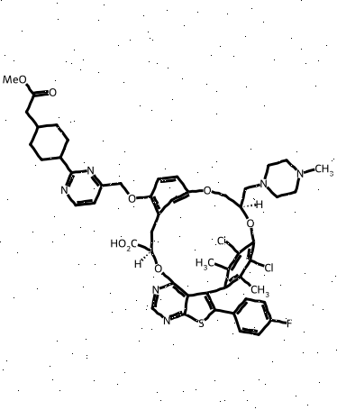 COC(=O)CC1CCC(c2nccc(COc3ccc4cc3C[C@H](C(=O)O)Oc3ncnc5sc(-c6ccc(F)cc6)c(c35)-c3c(C)c(Cl)c(c(Cl)c3C)O[C@H](CN3CCN(C)CC3)CO4)n2)CC1